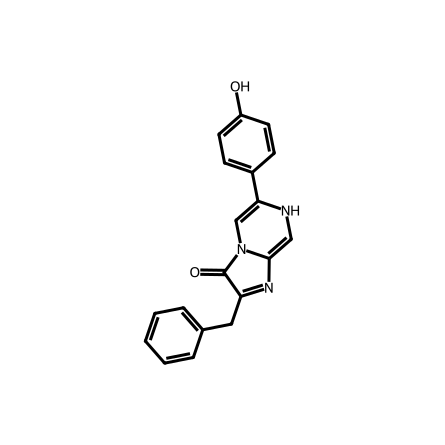 O=c1c(Cc2ccccc2)nc2c[nH]c(-c3ccc(O)cc3)cn1-2